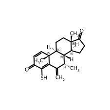 C=C1C2=C(S)C(=O)C=C[C@]2(C)[C@H]2CC[C@]3(C)C(=O)CC[C@H]3[C@@H]2[C@@H]1C